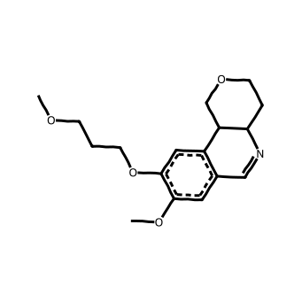 COCCCOc1cc2c(cc1OC)C=NC1CCOCC21